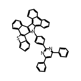 c1ccc(-c2cc(-c3ccccc3)nc(-c3ccc(-n4c5c6ccccc6c6ccccc6c5c5c6ccccc6c6sc7ccccc7c6c54)cc3)n2)cc1